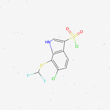 O=S(=O)(Cl)c1c[nH]c2c(SC(F)F)c(Cl)ccc12